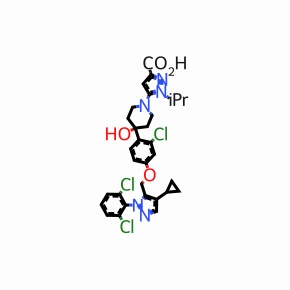 CC(C)n1nc(C(=O)O)cc1N1CCC(O)(c2ccc(OCc3c(C4CC4)cnn3-c3c(Cl)cccc3Cl)cc2Cl)CC1